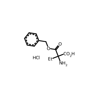 CCC(N)(C(=O)O)C(=O)OCc1ccccc1.Cl